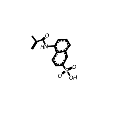 C=C(C)C(=O)Nc1cccc2cc(S(=O)(=O)O)ccc12